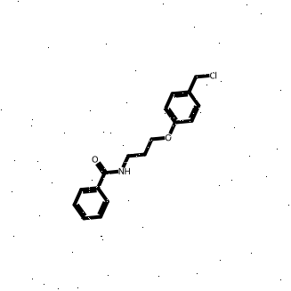 O=C(NCCCOc1ccc(CCl)cc1)c1cc[c]cc1